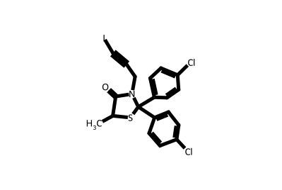 CC1SC(c2ccc(Cl)cc2)(c2ccc(Cl)cc2)N(CC#CI)C1=O